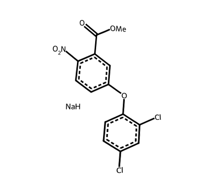 COC(=O)c1cc(Oc2ccc(Cl)cc2Cl)ccc1[N+](=O)[O-].[NaH]